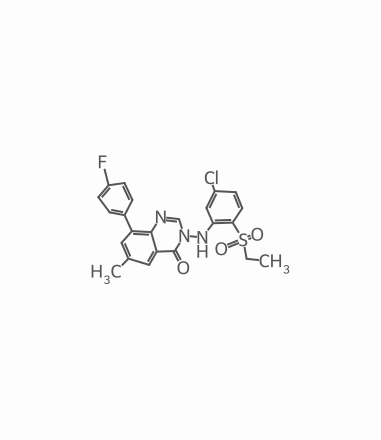 CCS(=O)(=O)c1ccc(Cl)cc1Nn1cnc2c(-c3ccc(F)cc3)cc(C)cc2c1=O